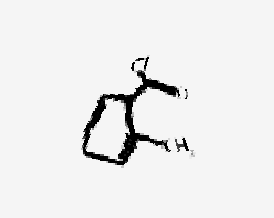 CC1=CCC=CC1C(=O)Cl